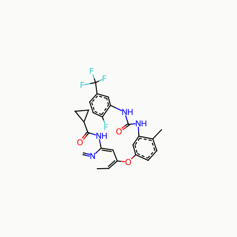 C=N/C(=C\C(=C/C)Oc1ccc(C)c(NC(=O)Nc2cc(C(F)(F)F)ccc2F)c1)NC(=O)C1CC1